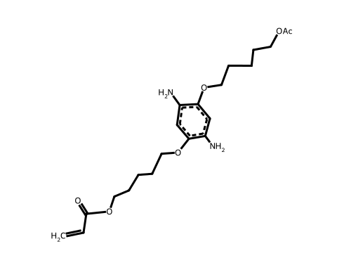 C=CC(=O)OCCCCCOc1cc(N)c(OCCCCCOC(C)=O)cc1N